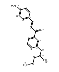 COc1ccc(/C=C/C(=O)c2cccc(CN(C)CCN)c2)cc1